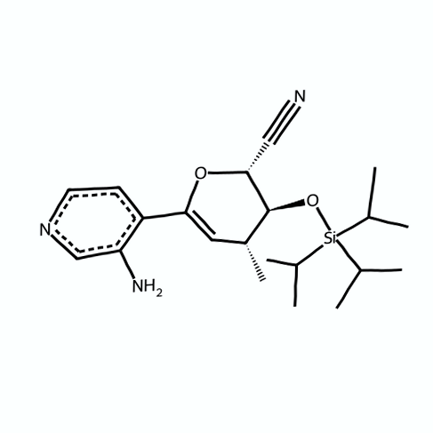 CC(C)[Si](O[C@H]1[C@H](C)C=C(c2ccncc2N)O[C@@H]1C#N)(C(C)C)C(C)C